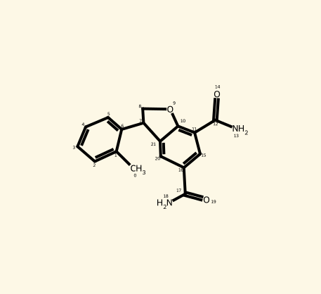 Cc1ccccc1C1COc2c(C(N)=O)cc(C(N)=O)cc21